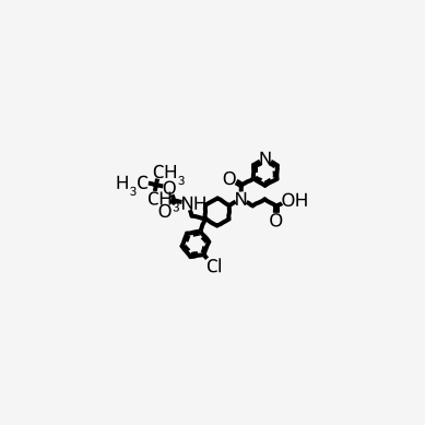 CC(C)(C)OC(=O)NCC1(c2cccc(Cl)c2)CCC(N(CCC(=O)O)C(=O)c2cccnc2)CC1